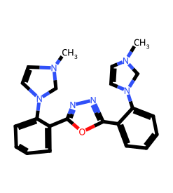 CN1C=CN(c2ccccc2-c2nnc(-c3ccccc3N3C=CN(C)C3)o2)C1